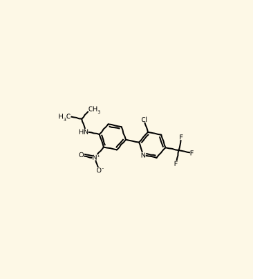 CC(C)Nc1ccc(-c2ncc(C(F)(F)F)cc2Cl)cc1[N+](=O)[O-]